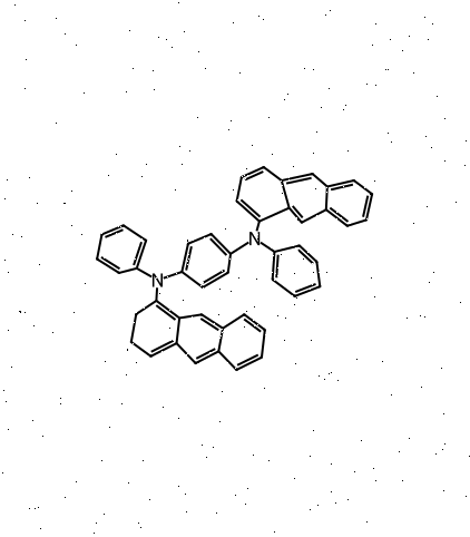 C1=c2cc3ccccc3cc2=C(N(c2ccccc2)c2ccc(N(c3ccccc3)c3cccc4cc5ccccc5cc34)cc2)CC1